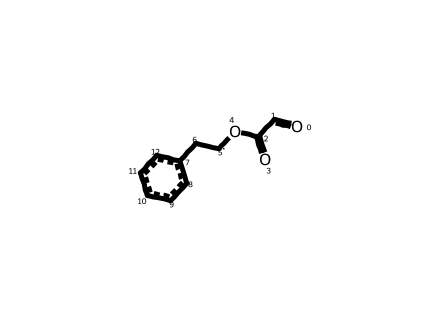 O=CC(=O)O[CH]Cc1ccccc1